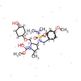 COc1ccc(CN([C@H]2C[C@@H](C)N(C(O)OC)[C@H]2COC2CCC(O)CC2)S(=O)(=O)N(C)C)cc1